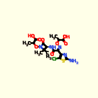 CC(O/N=C(\C(=O)N[C@@H]1C(=O)N(OC(C)C(=O)O)C1(C)C)c1nc(N)sc1Cl)C(=O)O